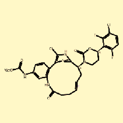 COC(=O)Nc1ccc2c(c1)NC(=O)CC/C=C/C[C@H](N1CC[C@H](c3c(F)ccc(Cl)c3F)OC1=O)c1nc-2c(Cl)[nH]1